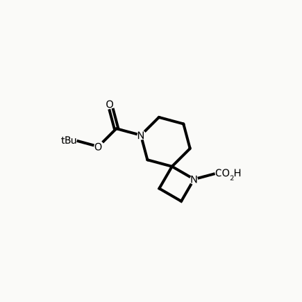 CC(C)(C)OC(=O)N1CCCC2(CCN2C(=O)O)C1